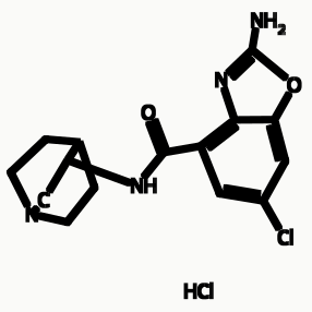 Cl.Nc1nc2c(C(=O)NC3CN4CCC3CC4)cc(Cl)cc2o1